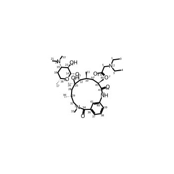 CCN(CC)CC(=O)O[C@H]1[C@H](C)[C@@H](O[C@@H]2O[C@H](C)C[C@H](N(C)C)[C@H]2O)[C@](C)(O)C[C@@H](C)CN(C)C(=O)c2cccc(c2)NC(=O)[C@@H]1C